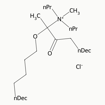 CCCCCCCCCCCCCCOC(C)(C(=O)CCCCCCCCCCC)[N+](C)(CCC)CCC.[Cl-]